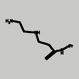 C=C(CCNCCN)NC(C)C